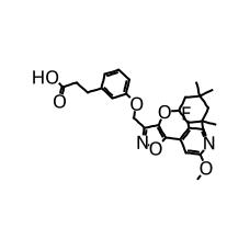 COc1cc(-c2onc(COc3cccc(CCC(=O)O)c3)c2OC2CC(C)(C)CC(C)(C)C2)c(F)cn1